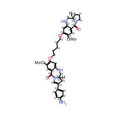 COc1cc2c(cc1OCCCCCOc1cc3c(cc1OC)C(=O)N1CCC[C@H]1CN3)NC[C@@H]1CC(c3ccc(N)cc3)=CN1C2=O